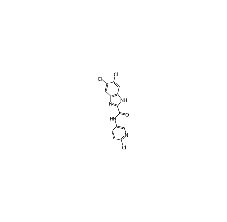 O=C(Nc1ccc(Cl)nc1)c1nc2cc(Cl)c(Cl)cc2[nH]1